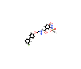 CS(=O)(=O)Nc1cc([C@@H](O)CNCCOc2ccc(-c3cccc(F)c3)cc2)ccc1O